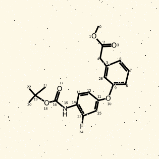 COC(=O)Cc1cccc(Oc2ccc(NC(=O)OC(C)(C)C)c(F)c2)c1